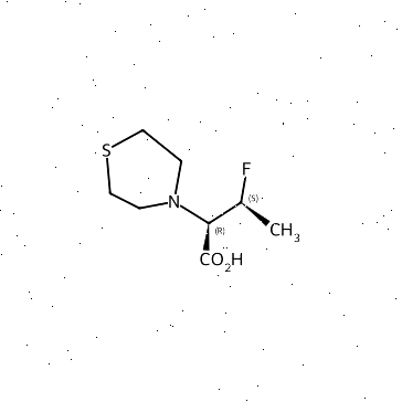 C[C@H](F)[C@@H](C(=O)O)N1CCSCC1